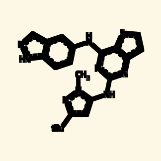 Cn1nc(C(C)(C)C)cc1Nc1nc(Nc2ccc3[nH]ncc3c2)c2sccc2n1